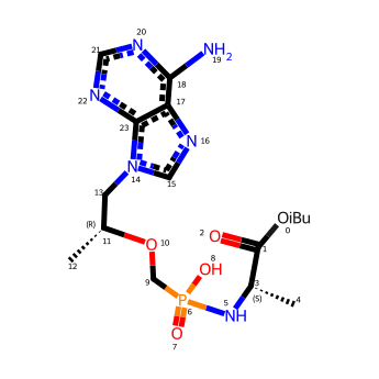 CC(C)COC(=O)[C@H](C)NP(=O)(O)CO[C@H](C)Cn1cnc2c(N)ncnc21